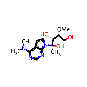 CO[C@H](CO)[C@@H](O)[C@@](C)(O)n1ccc2c(N(C)C)ncnc21